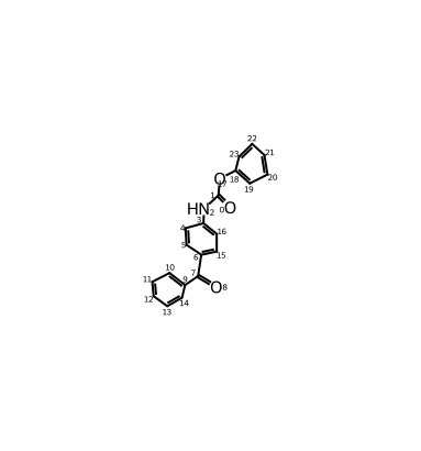 O=C(Nc1ccc(C(=O)c2ccccc2)cc1)Oc1ccccc1